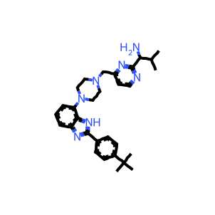 CC(C)C(N)c1nccc(CN2CCN(c3cccc4nc(-c5ccc(C(C)(C)C)cc5)[nH]c34)CC2)n1